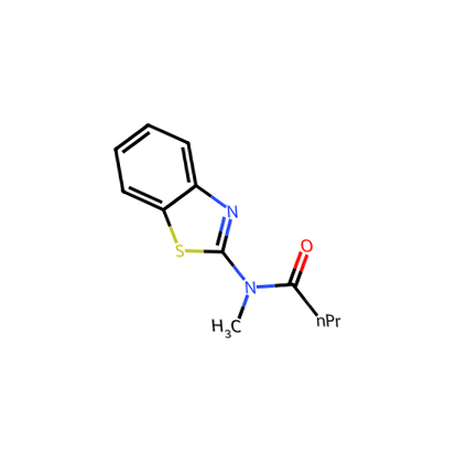 CCCC(=O)N(C)c1nc2ccccc2s1